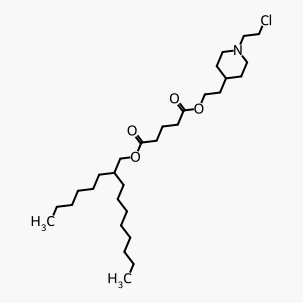 CCCCCCCCC(CCCCCC)COC(=O)CCCC(=O)OCCC1CCN(CCCl)CC1